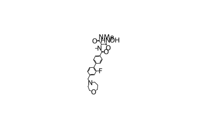 CNC(=O)C(C(=O)NO)N(C)C(=O)c1ccc(-c2ccc(CN3CCCOCC3)cc2F)cc1